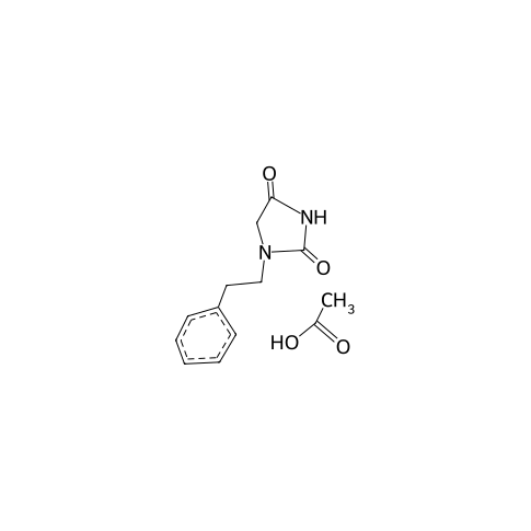 CC(=O)O.O=C1CN(CCc2ccccc2)C(=O)N1